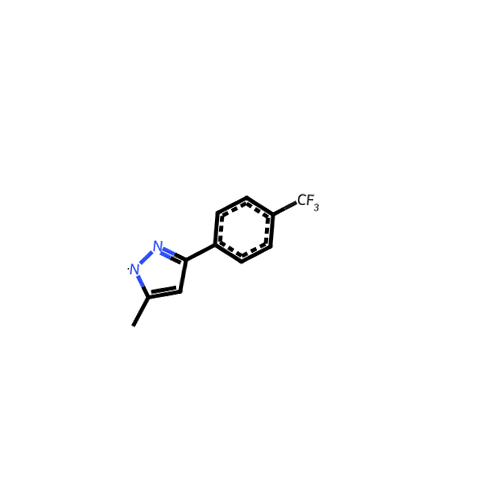 CC1=CC(c2ccc(C(F)(F)F)cc2)=N[N]1